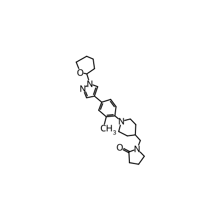 Cc1cc(-c2cnn(C3CCCCO3)c2)ccc1N1CCC(CN2CCCC2=O)CC1